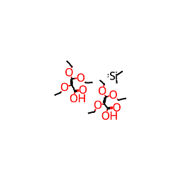 CCOC(OCC)=C(OCC)C(=O)O.CCOC(OCC)=C(OCC)C(=O)O.C[Si]C